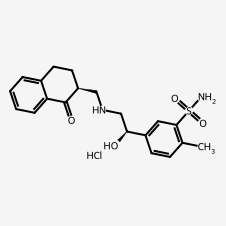 Cc1ccc([C@@H](O)CNC[C@@H]2CCc3ccccc3C2=O)cc1S(N)(=O)=O.Cl